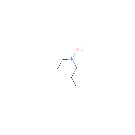 BN(CC)CCC